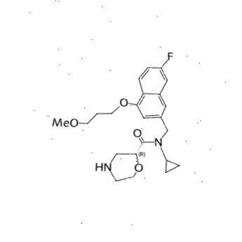 COCCCOc1cc(CN(C(=O)[C@H]2CNCCO2)C2CC2)cc2cc(F)ccc12